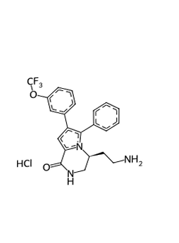 Cl.NCC[C@H]1CNC(=O)c2cc(-c3cccc(OC(F)(F)F)c3)c(-c3ccccc3)n21